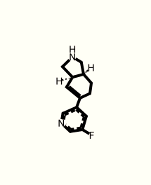 Fc1cncc(C2=C[C@H]3CNC[C@H]3CC2)c1